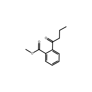 CCCC(=O)c1ccccc1C(=O)OC